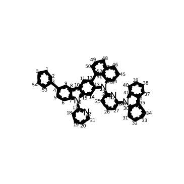 c1ccc(-c2ccc3c(c2)c2cc4c(cc2n3-c2ccccn2)N(c2cccc(-n3c5ccccc5c5ccccc53)n2)c2cccc3cccc-4c23)cc1